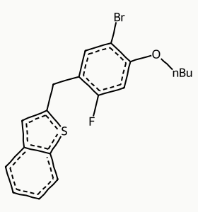 CCCCOc1cc(F)c(Cc2cc3ccccc3s2)cc1Br